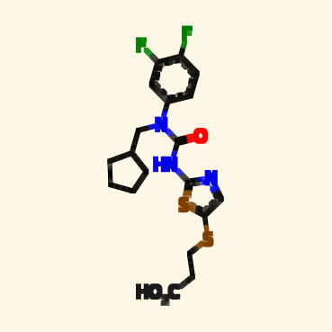 O=C(O)CCSc1cnc(NC(=O)N(CC2CCCC2)c2ccc(F)c(F)c2)s1